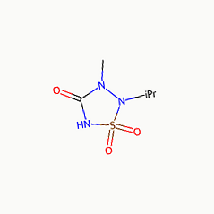 CC(C)N1N(C)C(=O)NS1(=O)=O